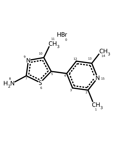 Br.Cc1cc(-c2sc(N)nc2C)cc(C)n1